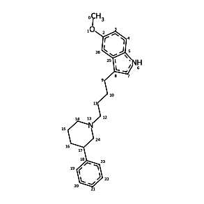 COc1ccc2[nH]cc(CCCCN3CCCC(c4ccccc4)C3)c2c1